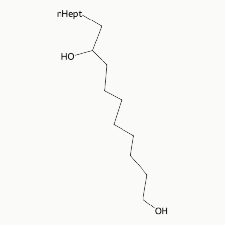 CCCCCCCCC(O)CCCCCCCCO